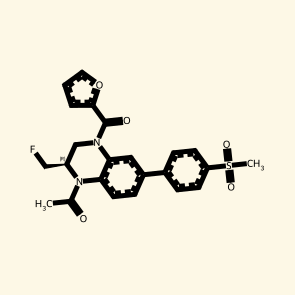 CC(=O)N1c2ccc(-c3ccc(S(C)(=O)=O)cc3)cc2N(C(=O)c2ccco2)C[C@@H]1CF